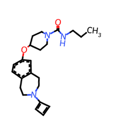 CCCNC(=O)N1CCC(Oc2ccc3c(c2)CCN(C2=CC=C2)CC3)CC1